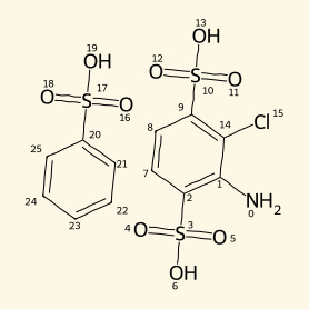 Nc1c(S(=O)(=O)O)ccc(S(=O)(=O)O)c1Cl.O=S(=O)(O)c1ccccc1